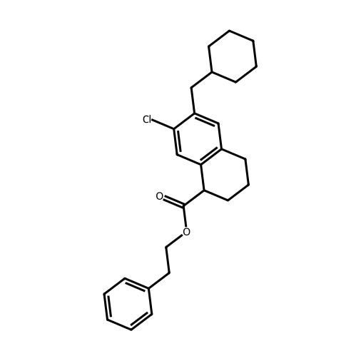 O=C(OCCc1ccccc1)C1CCCc2cc(CC3CCCCC3)c(Cl)cc21